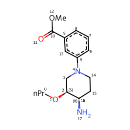 CCCO[C@H]1CN(c2cccc(C(=O)OC)c2)CC[C@H]1N